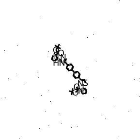 CC(C)(C)OC(=O)N1CCC[C@H]1c1ncc(-c2ccc(-c3ccc(-c4csc([C@@H]5CCCN5C(=O)OC(C)(C)C)n4)cc3)cc2)[nH]1